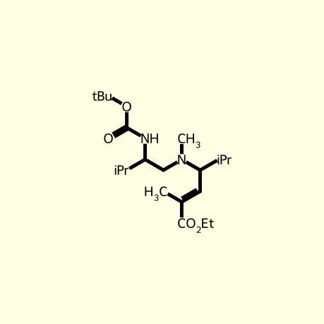 CCOC(=O)/C(C)=C/C(C(C)C)N(C)CC(NC(=O)OC(C)(C)C)C(C)C